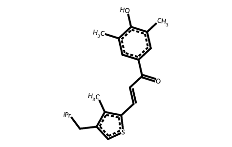 Cc1cc(C(=O)C=Cc2scc(CC(C)C)c2C)cc(C)c1O